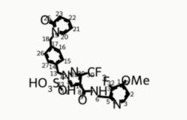 COc1ccnc(CNC(=O)c2cn(Cc3ccc(Cn4ccccc4=O)cc3)nc2C(F)(F)F)c1F.O=S(=O)(O)O